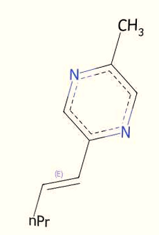 CCC/C=C/c1cnc(C)cn1